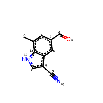 Cc1cc(C=O)cc2c(C#N)c[nH]c12